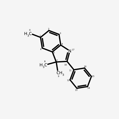 Cc1ccc2c(c1)C(C)(C)C(c1ccccc1)=N2